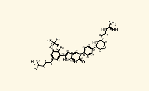 C[C@H](N)CCCc1cc(OC(F)(F)F)c(F)c(-c2cc3cn(-c4ccc([C@@H]5COC[C@H](CCNC(=N)N)N5)cc4)c(=O)nc3[nH]2)c1